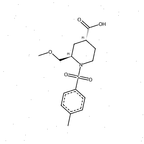 COC[C@H]1C[C@H](C(=O)O)CCN1S(=O)(=O)c1ccc(C)cc1